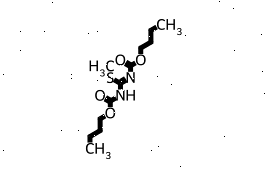 CCCCOC(=O)/N=C(/NC(=O)OCCCC)SC